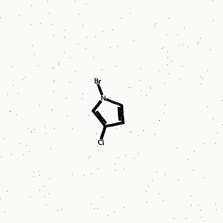 Clc1ccn(Br)c1